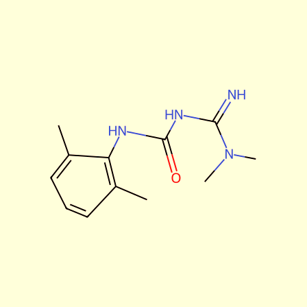 Cc1cccc(C)c1NC(=O)NC(=N)N(C)C